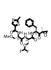 COC[C@H](NC(=O)c1cnc(C)s1)C(=O)N[C@@H](COC(F)F)C(=O)N[C@@H](Cc1ccccc1)C(=O)[C@@]1(C)CO1